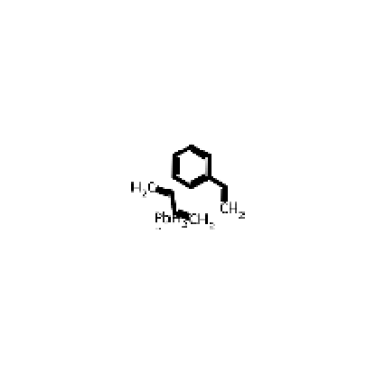 C=CC=C.C=Cc1ccccc1.[PbH2]